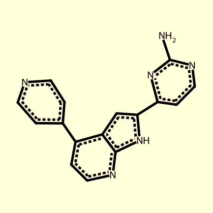 Nc1nccc(-c2cc3c(-c4ccncc4)ccnc3[nH]2)n1